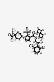 CC1(C(=O)O)CCC(n2ncc(C(=O)N(CC(=O)c3c(Cl)cncc3Cl)[C@H]3CCC34CCC4)c2C(F)(F)F)CC1